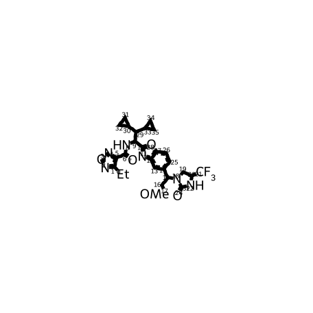 CCc1nonc1C(=O)NC(c1nc2cc(C(COC)N3CC(C(F)(F)F)NC3=O)ccc2o1)C(C1CC1)C1CC1